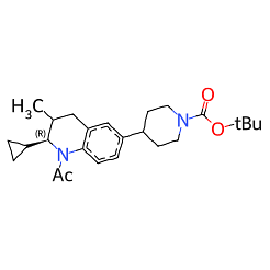 CC(=O)N1c2ccc(C3CCN(C(=O)OC(C)(C)C)CC3)cc2CC(C)[C@@H]1C1CC1